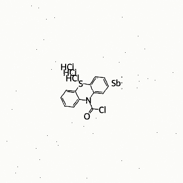 Cl.Cl.Cl.O=C(Cl)N1c2ccccc2Sc2ccccc21.[Sb]